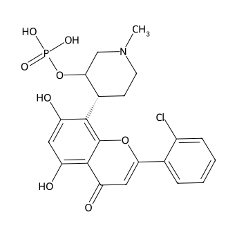 CN1CC[C@H](c2c(O)cc(O)c3c(=O)cc(-c4ccccc4Cl)oc23)C(OP(=O)(O)O)C1